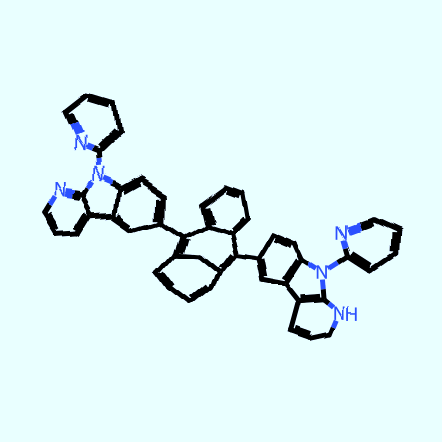 C1=CC2=C(c3ccc4c(c3)c3c(n4-c4ccccn4)NCC=C3)c3ccccc3C(c3ccc4c(c3)c3cccnc3n4-c3ccccn3)=C(C=C1)C2